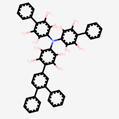 Bc1c(B)c(N(c2c(B)c(B)c(-c3ccccc3)c(B)c2B)c2c(B)c(B)c(-c3ccc(-c4ccccc4)c(-c4ccccc4)c3)c(B)c2B)c(B)c(B)c1-c1ccccc1